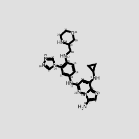 Nc1cnc2c(NC3CC3)cc(Nc3ccc(NCC4COCCN4)c(-n4cnnc4)c3)nn12